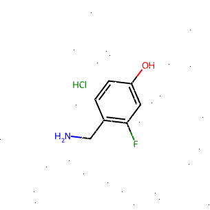 Cl.NCc1ccc(O)cc1F